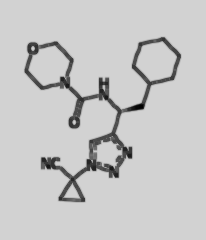 N#CC1(n2cc([C@H](CC3CCCCC3)NC(=O)N3CCOCC3)nn2)CC1